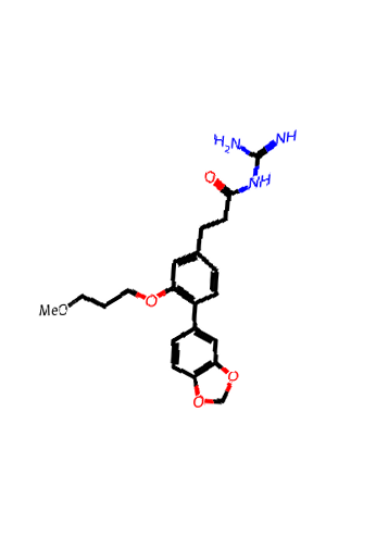 COCCCOc1cc(CCC(=O)NC(=N)N)ccc1-c1ccc2c(c1)OCO2